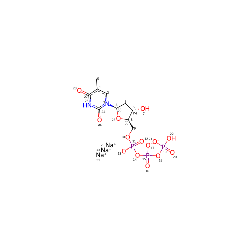 Cc1cn([C@H]2C[C@H](O)[C@@H](COP(=O)([O-])OP(=O)([O-])OP(=O)([O-])O)O2)c(=O)[nH]c1=O.[Na+].[Na+].[Na+]